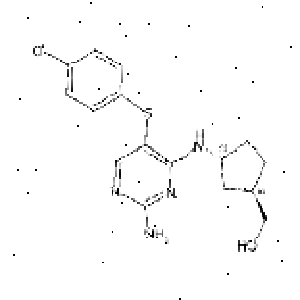 Nc1ncc(Sc2ccc(Cl)cc2)c(N[C@@H]2CC[C@@H](CO)C2)n1